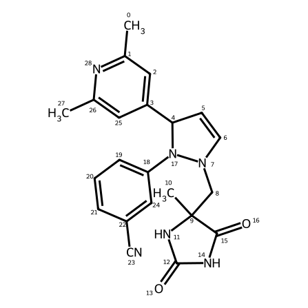 Cc1cc(C2C=CN(CC3(C)NC(=O)NC3=O)N2c2cccc(C#N)c2)cc(C)n1